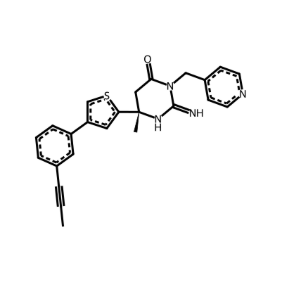 CC#Cc1cccc(-c2csc([C@]3(C)CC(=O)N(Cc4ccncc4)C(=N)N3)c2)c1